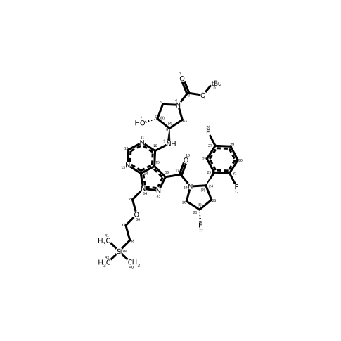 CC(C)(C)OC(=O)N1C[C@@H](O)[C@H](Nc2ncnc3c2c(C(=O)N2C[C@@H](F)C[C@@H]2c2cc(F)ccc2F)nn3COCC[Si](C)(C)C)C1